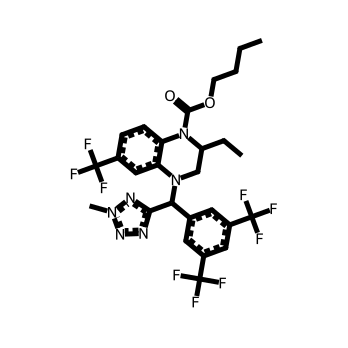 CCCCOC(=O)N1c2ccc(C(F)(F)F)cc2N(C(c2cc(C(F)(F)F)cc(C(F)(F)F)c2)c2nnn(C)n2)CC1CC